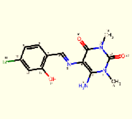 Cn1c(N)c(/N=C/c2ccc(Br)cc2O)c(=O)n(C)c1=O